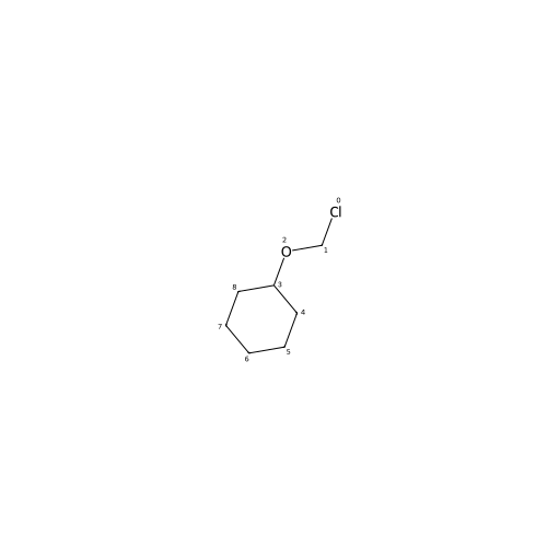 ClCOC1CCCCC1